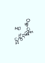 Cc1[nH]c(/C=C2\C(=O)Nc3ccc(-c4cnn(-c5ccccc5)c4)cc32)c(C)c1C(=O)NC1CCCNC1.Cl